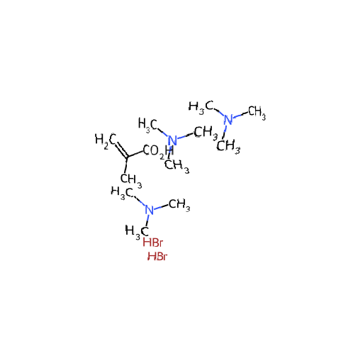 Br.Br.C=C(C)C(=O)O.CN(C)C.CN(C)C.CN(C)C